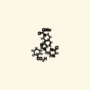 COC(=O)N1CCc2ccc3c(nc([C@H]4CCC[C@H](C(=O)O)C4)n3Cc3cncc(Cl)n3)c2C1